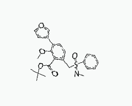 CN=S(=O)(Cc1ccc(-c2ccoc2)c(OC)c1C(=O)OC(C)(C)C)c1ccccc1